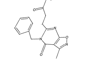 Cc1noc2nc([CH]CC(N)=O)n(Cc3ccccc3)c(=O)c12